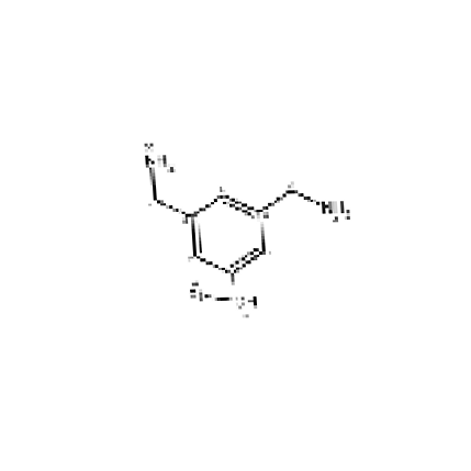 CCO.NCc1cccc(CN)c1